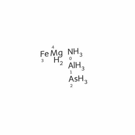 N.[AlH3].[AsH3].[Fe].[MgH2]